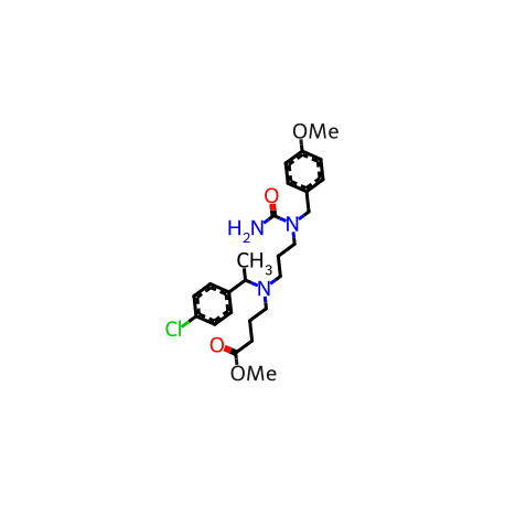 COC(=O)CCCN(CCCN(Cc1ccc(OC)cc1)C(N)=O)C(C)c1ccc(Cl)cc1